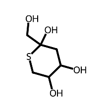 OCC1(O)CC(O)C(O)CS1